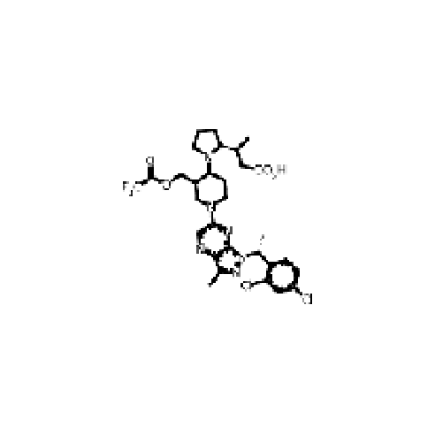 Cc1nn([C@H](C)c2ccc(Cl)cc2Cl)c2nc(N3CCC(N4CCC[C@H]4C(C)CC(=O)O)C(COC(=O)C(F)(F)F)C3)cnc12